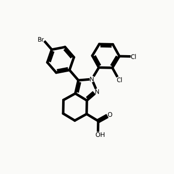 O=C(O)C1CCCc2c1nn(-c1cccc(Cl)c1Cl)c2-c1ccc(Br)cc1